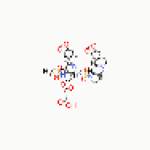 CS(=O)(=O)N1CCC[C@@H]2CN3CCc4cc5c(cc4[C@@H]3C[C@@H]21)OCO5.CS(=O)(=O)N1CCC[C@@H]2CN3CCc4cc5c(cc4[C@@H]3C[C@@H]21)OCO5.O=C(O)CCC(=O)O